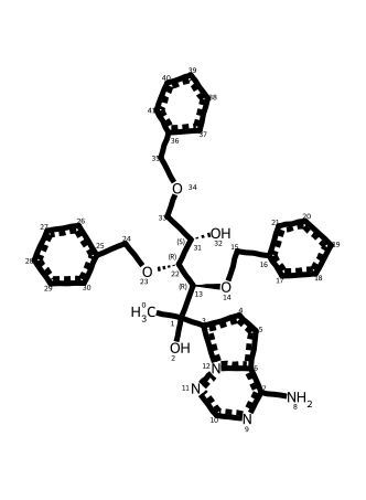 CC(O)(c1ccc2c(N)ncnn12)[C@H](OCc1ccccc1)[C@H](OCc1ccccc1)[C@@H](O)COCc1ccccc1